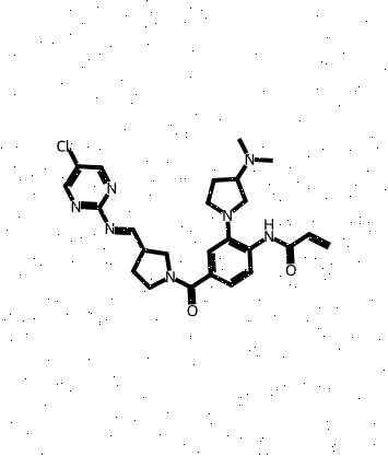 C=CC(=O)Nc1ccc(C(=O)N2CCC(/C=N/c3ncc(Cl)cn3)C2)cc1N1CCC(N(C)C)C1